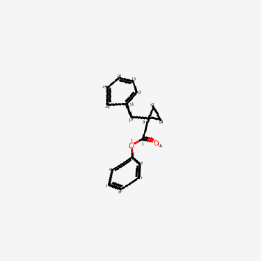 O=C(Oc1ccccc1)C1(Cc2ccccc2)CC1